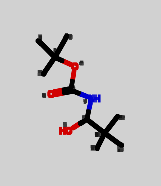 CC(C)(C)OC(=O)NC(O)C(C)(C)C